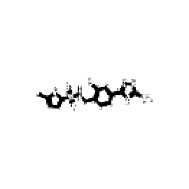 Cc1ccc(S(=O)(=O)NCc2ccc(-c3noc(C(F)(F)F)n3)cc2F)s1